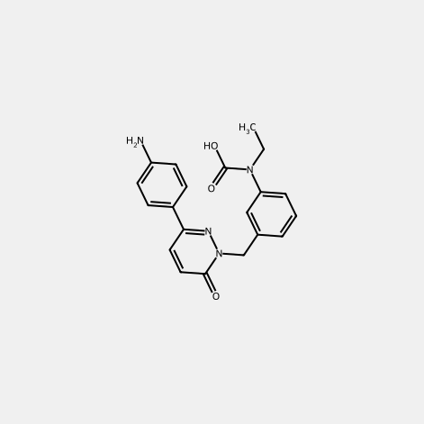 CCN(C(=O)O)c1cccc(Cn2nc(-c3ccc(N)cc3)ccc2=O)c1